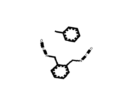 Cc1ccccc1.O=C=NCc1ccccc1CN=C=O